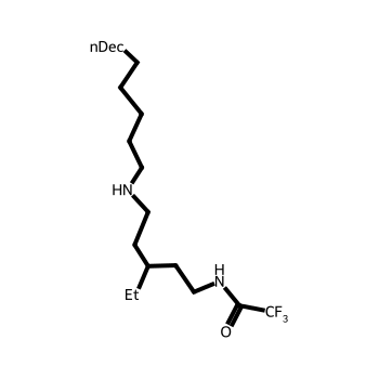 CCCCCCCCCCCCCCCNCCC(CC)CCNC(=O)C(F)(F)F